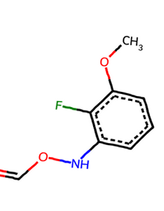 COc1cccc(NOC=O)c1F